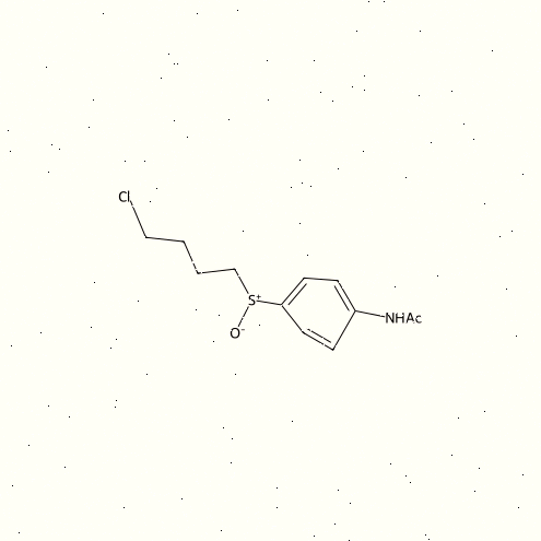 CC(=O)Nc1ccc([S+]([O-])CCCCCl)cc1